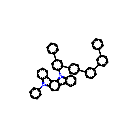 c1ccc(-c2cccc(-c3cccc(-c4ccc(-c5cc(-c6ccccc6)ccc5-n5c6ccccc6c6ccc7c(c8ccccc8n7-c7ccccc7)c65)cc4)c3)c2)cc1